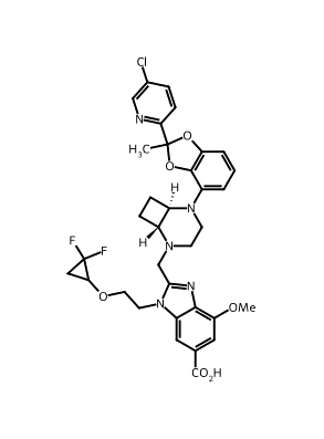 COc1cc(C(=O)O)cc2c1nc(CN1CCN(c3cccc4c3OC(C)(c3ccc(Cl)cn3)O4)[C@@H]3CC[C@H]31)n2CCOC1CC1(F)F